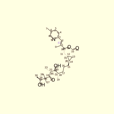 C/C(=C\c1ccc(C)cn1)[C@@H](C[C@@H]1C[C@H]1CCC[C@H](C)[C@H](O)[C@@H](C)C(=O)C(C)(C)[C@H](C)O)OC=O